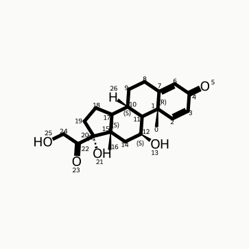 C[C@]12C=CC(=O)C=C1CC[C@@H]1C2[C@@H](O)C[C@@]2(C)C1CC[C@]2(O)C(=O)CO